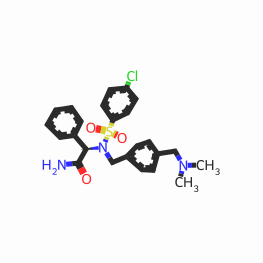 CN(C)Cc1ccc(CN([C@@H](C(N)=O)c2ccccc2)S(=O)(=O)c2ccc(Cl)cc2)cc1